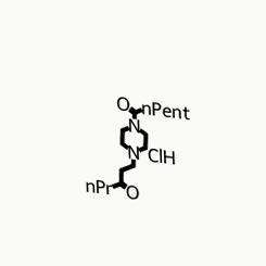 CCCCCC(=O)N1CCN(CCC(=O)CCC)CC1.Cl